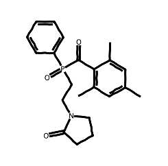 Cc1cc(C)c(C(=O)P(=O)(CCN2CCCC2=O)c2ccccc2)c(C)c1